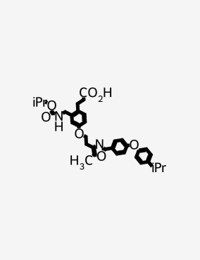 Cc1oc(-c2ccc(Oc3ccc(C(C)C)cc3)cc2)nc1CCOc1ccc(CCC(=O)O)c(CNC(=O)OC(C)C)c1